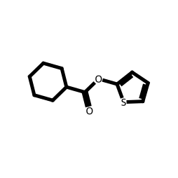 O=C(Oc1cccs1)C1CCCCC1